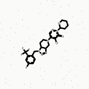 O=c1c(Cl)c(N2CCC3C(C2)N=NN3Cc2ccc(F)cc2C(F)(F)F)cnn1C1CCCCO1